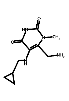 Cn1c(CN)c(NCC2CC2)c(=O)[nH]c1=O